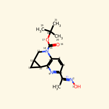 C/C(=N\O)c1ccc2c(n1)C1CC1CN2C(=O)OC(C)(C)C